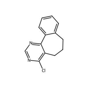 Clc1ncnc2c1CCCc1ccccc1-2